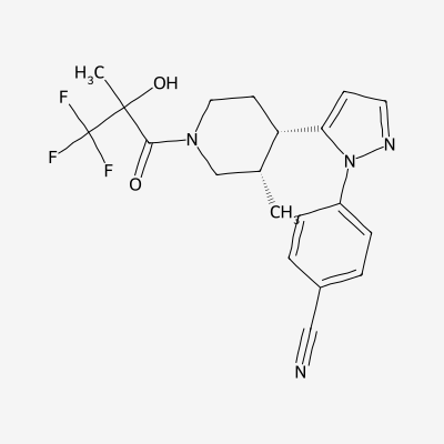 C[C@@H]1CN(C(=O)C(C)(O)C(F)(F)F)CC[C@@H]1c1ccnn1-c1ccc(C#N)cc1